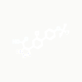 O=C(O)c1[nH]nnc1-c1ccc(-c2ccc(OC(F)(F)F)cc2)c(Cl)c1